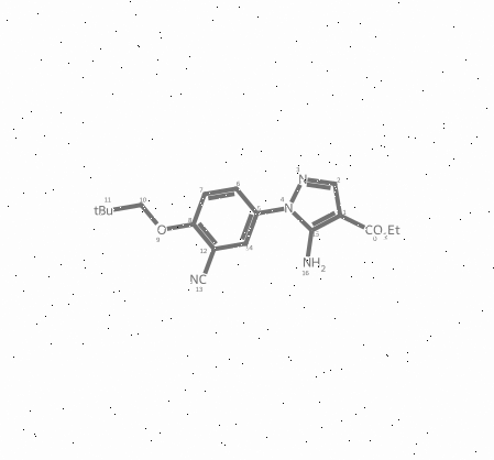 CCOC(=O)c1cnn(-c2ccc(OCC(C)(C)C)c(C#N)c2)c1N